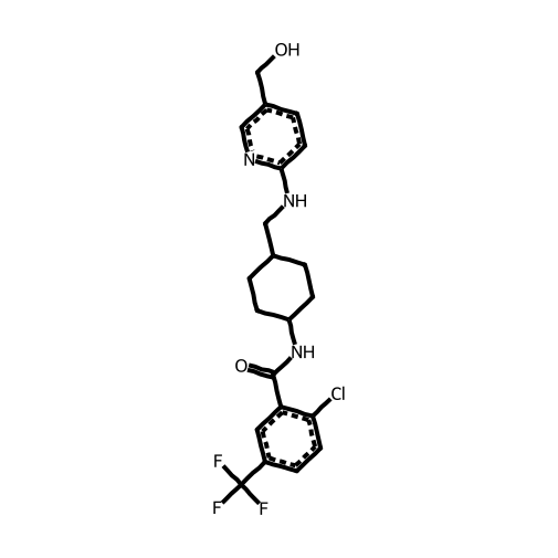 O=C(NC1CCC(CNc2ccc(CO)cn2)CC1)c1cc(C(F)(F)F)ccc1Cl